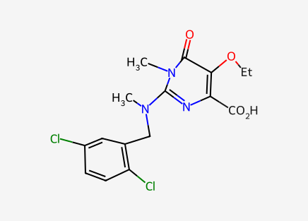 CCOc1c(C(=O)O)nc(N(C)Cc2cc(Cl)ccc2Cl)n(C)c1=O